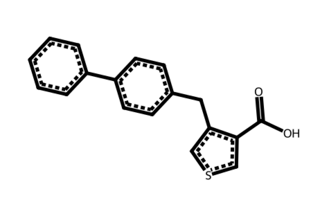 O=C(O)c1cscc1Cc1ccc(-c2ccccc2)cc1